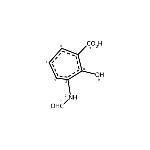 O=CNc1cccc(C(=O)O)c1O